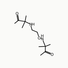 CC(=O)C(C)(C)NCCONC(C)(C)C(C)=O